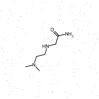 CN(C)CCNCC(N)=O